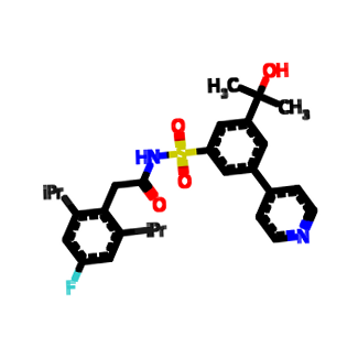 CC(C)c1cc(F)cc(C(C)C)c1CC(=O)NS(=O)(=O)c1cc(-c2ccncc2)cc(C(C)(C)O)c1